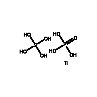 O=P(O)(O)O.O[Si](O)(O)O.[Ti]